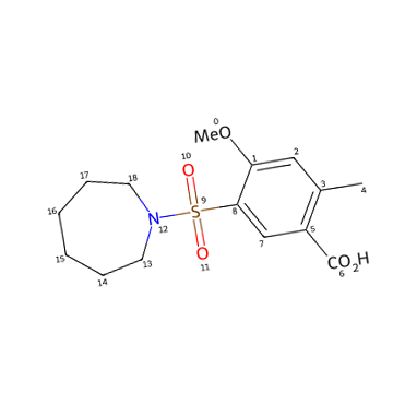 COc1cc(C)c(C(=O)O)cc1S(=O)(=O)N1CCCCCC1